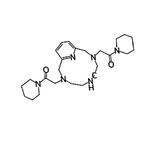 O=C(CN1CCNCCN(CC(=O)N2CCCCC2)Cc2cccc(n2)C1)N1CCCCC1